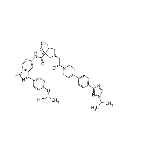 CO[C@@]1(C(=O)Nc2ccc3[nH]nc(-c4ccc(OC(C)C)nc4)c3c2)CCN(CC(=O)N2CC=C(c3ccc(-c4ncn(C(C)C)n4)cc3)CC2)C1